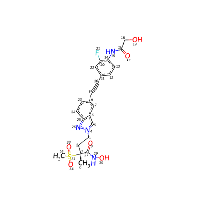 C[C@@](CCn1cc2cc(C#Cc3ccc(NC(=O)CO)c(F)c3)ccc2n1)(C(=O)NO)S(C)(=O)=O